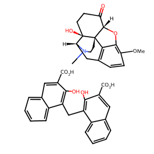 COc1ccc2c3c1O[C@H]1C(=O)CC[C@@]4(O)[C@@H](C2)N(C)CC[C@]314.O=C(O)c1cc2ccccc2c(Cc2c(O)c(C(=O)O)cc3ccccc23)c1O